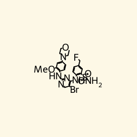 COc1cc(N2CCOCC2)ccc1Nc1ncc(Br)c(Nc2ccc(CF)cc2S(N)(=O)=O)n1